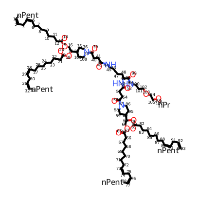 CCCCC/C=C\C/C=C\CCCCCCCC(=O)OCC(OC(=O)CCCCCCC/C=C\C/C=C\CCCCC)C1CCN(C(=O)CCC(=O)NCCCCC(NC(=O)CCC(=O)N2CCC(C(COC(=O)CCCCCCC/C=C\C/C=C\CCCCC)OC(=O)CCCCCCC/C=C\C/C=C\CCCCC)CC2)C(=O)NCCCOCCOCCC)CC1